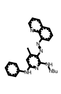 CCCCNc1nc(Nc2ccccc2)cc(C)c1N=Nc1cccc2cccnc12